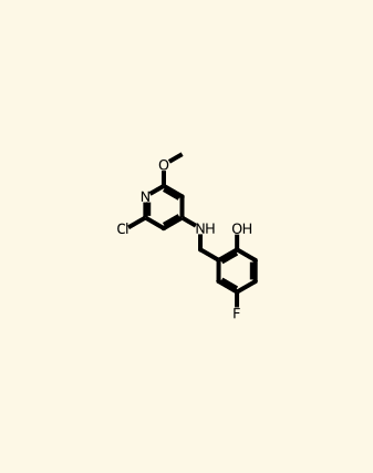 COc1cc(NCc2cc(F)ccc2O)cc(Cl)n1